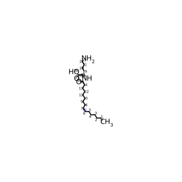 CCCCCC/C=C\CCCCCCCC(=O)N[C@@H](CCCCN)C(=O)O